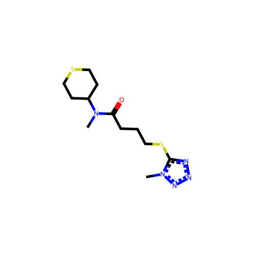 CN(C(=O)CCCSc1nnnn1C)C1CCSCC1